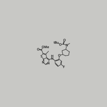 COC(=O)c1sc2ncnc(Nc3ccc(F)cc3OC3CCCC(N(C)C(=O)OC(C)(C)C)C3)c2c1C